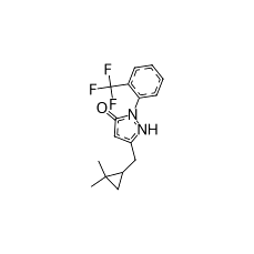 CC1(C)CC1Cc1cc(=O)n(-c2ccccc2C(F)(F)F)[nH]1